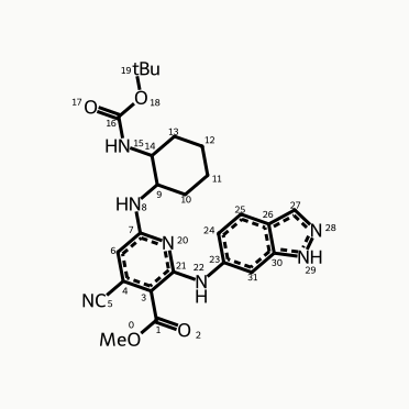 COC(=O)c1c(C#N)cc(NC2CCCCC2NC(=O)OC(C)(C)C)nc1Nc1ccc2cn[nH]c2c1